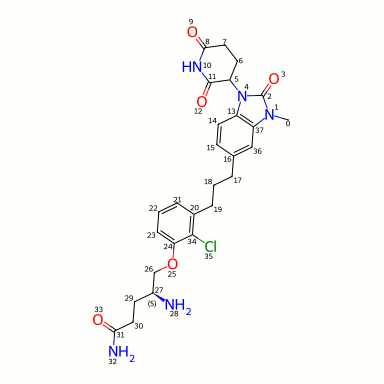 Cn1c(=O)n(C2CCC(=O)NC2=O)c2ccc(CCCc3cccc(OC[C@@H](N)CCC(N)=O)c3Cl)cc21